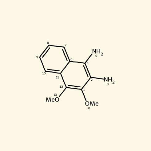 COc1c(N)c(N)c2ccccc2c1OC